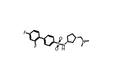 CN(C)C[C@@H]1CC[C@H](NS(=O)(=O)c2ccc(-c3ccc(F)cc3F)cc2)C1